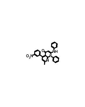 Cc1cc(-c2cccc([N+](=O)[O-])c2)c2c(=O)cc(Nc3ccccc3)n(-c3ccccc3)c2n1